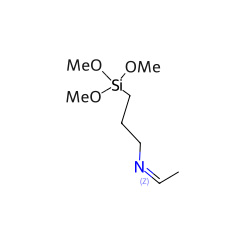 C/C=N\CCC[Si](OC)(OC)OC